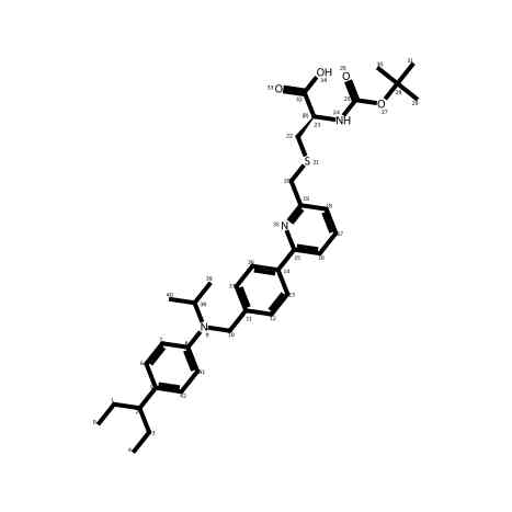 CCC(CC)c1ccc(N(Cc2ccc(-c3cccc(CSC[C@H](NC(=O)OC(C)(C)C)C(=O)O)n3)cc2)C(C)C)cc1